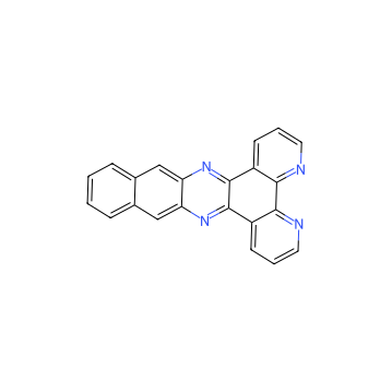 c1ccc2cc3nc4c5cccnc5c5ncccc5c4nc3cc2c1